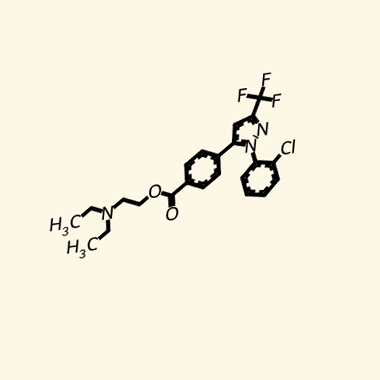 CCN(CC)CCOC(=O)c1ccc(-c2cc(C(F)(F)F)nn2-c2ccccc2Cl)cc1